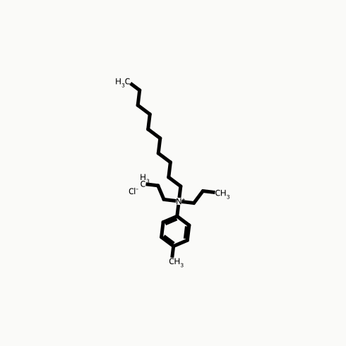 CCCCCCCCCC[N+](CCC)(CCC)c1ccc(C)cc1.[Cl-]